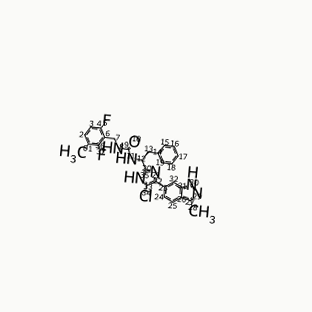 Cc1ccc(F)c(CNC(=O)N[C@@H](Cc2ccccc2)c2nc(-c3ccc4c(C)n[nH]c4c3)c(Cl)[nH]2)c1F